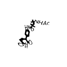 CC(=O)NC(C)(C)CC(C)(C)C(=O)Nc1ccc(C2CCC(=O)NC2=O)cc1